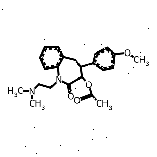 COc1ccc(C2Cc3ccccc3N(CCN(C)C)C(=O)C2OC(C)=O)cc1